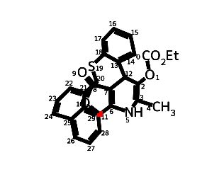 CCOC(=O)OC1=C(C)NC2=C(C(=O)OC2)C1c1ccccc1SCc1cccc2ccccc12